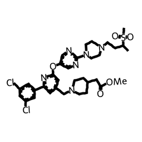 COC(=O)CC1CCN(Cc2cc(Oc3cnc(N4CCN(CCC(C)S(C)(=O)=O)CC4)nc3)nc(-c3cc(Cl)cc(Cl)c3)c2)CC1